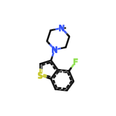 Fc1cccc2scc(N3CC[N]CC3)c12